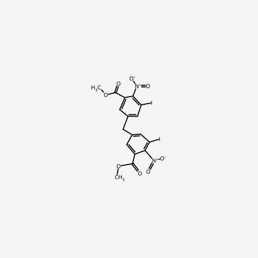 COC(=O)c1cc(Cc2cc(I)c([N+](=O)[O-])c(C(=O)OC)c2)cc(I)c1[N+](=O)[O-]